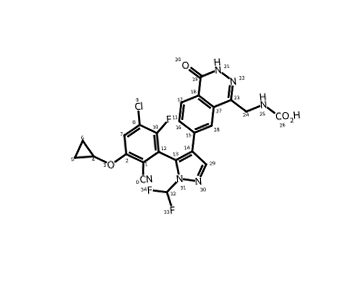 N#Cc1c(OC2CC2)cc(Cl)c(F)c1-c1c(-c2ccc3c(=O)[nH]nc(CNC(=O)O)c3c2)cnn1C(F)F